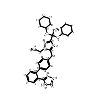 CCCC(OC1CCCCC1)(OC1CCCCC1)c1nc(Cc2ccc(-c3ccccc3-c3nnn[nH]3)cc2)n(CC(C)(C)C)n1